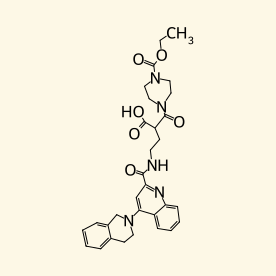 CCOC(=O)N1CCN(C(=O)C(CCNC(=O)c2cc(N3CCc4ccccc4C3)c3ccccc3n2)C(=O)O)CC1